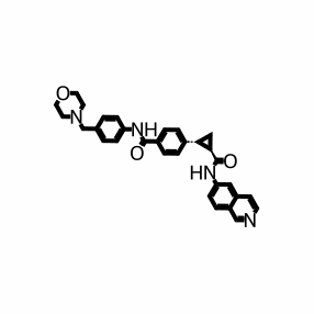 O=C(Nc1ccc(CN2CCOCC2)cc1)c1ccc([C@@H]2C[C@H]2C(=O)Nc2ccc3cnccc3c2)cc1